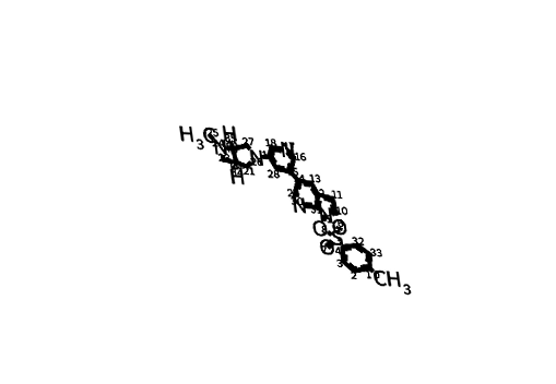 Cc1ccc(S(=O)(=O)On2ccc3cc(-c4cncc(N5C[C@H]6CN(C)[C@@H]6C5)c4)cnc32)cc1